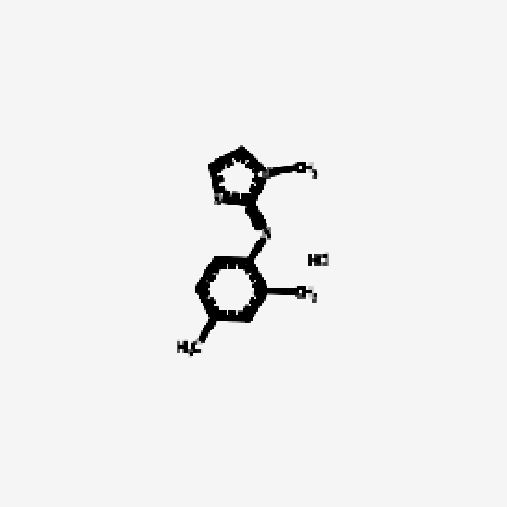 Cc1ccc(N=c2sccn2C)c(C)c1.Cl